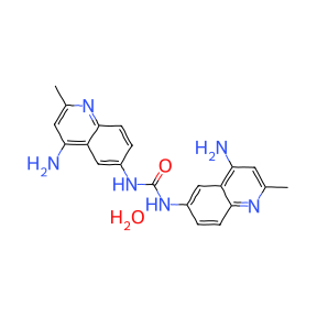 Cc1cc(N)c2cc(NC(=O)Nc3ccc4nc(C)cc(N)c4c3)ccc2n1.O